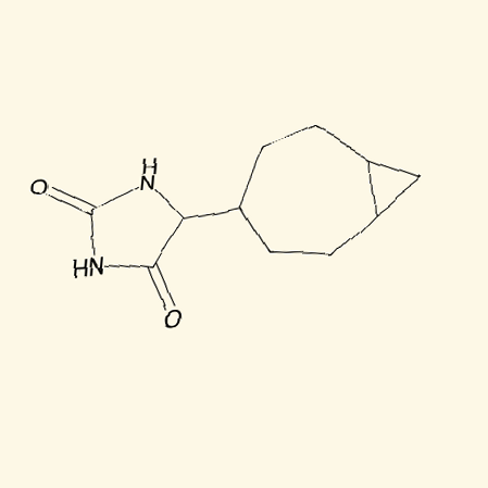 O=C1NC(=O)C(C2CCC3CC3CC2)N1